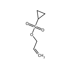 C=CCOS(=O)(=O)C1CC1